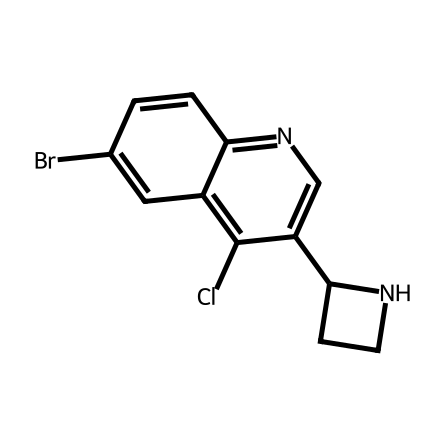 Clc1c(C2CCN2)cnc2ccc(Br)cc12